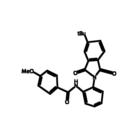 COc1ccc(C(=O)Nc2ccccc2N2C(=O)c3ccc(C(C)(C)C)cc3C2=O)cc1